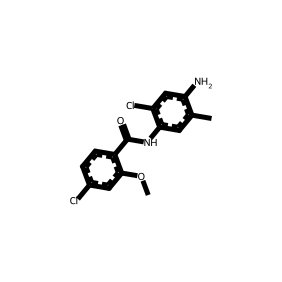 COc1cc(Cl)ccc1C(=O)Nc1cc(C)c(N)cc1Cl